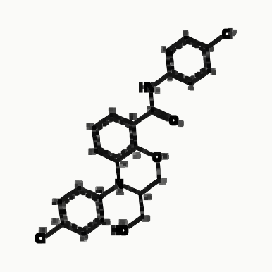 O=C(Nc1ccc(Cl)cc1)c1cccc2c1OCC(CO)N2c1ccc(Cl)cc1